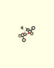 CC1=Cc2c(cc3c(c2-c2ccccc2)CCC3)[CH]1[Zr][CH]1C(C)=Cc2c1cc1c(c2-c2ccccc2)CCC1.C[Si](C)(Cl)Cl